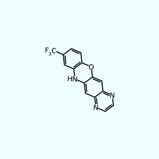 FC(F)(F)c1ccc2c(c1)Nc1cc3nccnc3cc1O2